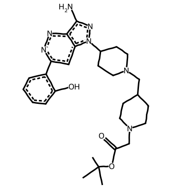 CC(C)(C)OC(=O)CN1CCC(CN2CCC(n3nc(N)c4nnc(-c5ccccc5O)cc43)CC2)CC1